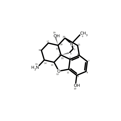 CN1CC[C@]23c4c5ccc(O)c4OC2C(N)CC[C@@]3(O)C1C5